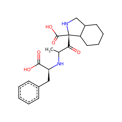 CC(N[C@@H](Cc1ccccc1)C(=O)O)C(=O)[C@@]1(C(=O)O)NCC2CCCCC21